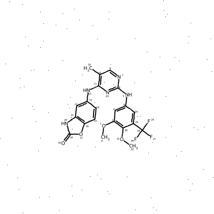 COc1cc(Nc2ncc(C)c(Nc3ccc4oc(=O)[nH]c4c3)n2)cc(C(F)(F)F)c1OC